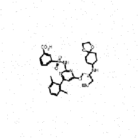 Cc1cccc(C)c1-c1cc(OC[C@@H](CC(C)(C)C)NC2CCC3(CC2)OCCO3)nc(NS(=O)(=O)c2cccc(C(=O)O)c2)n1